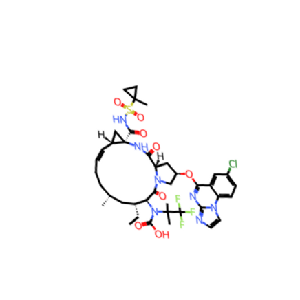 CC[C@@H]1C[C@H](C)CCC=C[C@@H]2C[C@@]2(C(=O)NS(=O)(=O)C2(C)CC2)NC(=O)[C@@H]2C[C@@H](Oc3nc4nccn4c4ccc(Cl)cc34)CN2C(=O)[C@H]1N(C(=O)O)C(C)(C)C(F)(F)F